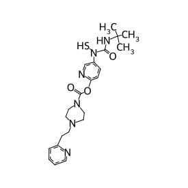 CC(C)(C)NC(=O)N(S)c1ccc(OC(=O)N2CCN(CCc3ccccn3)CC2)nc1